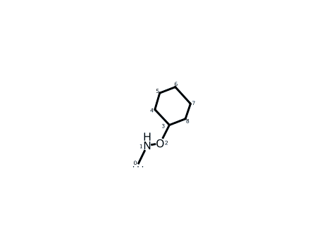 [C]NOC1CCCCC1